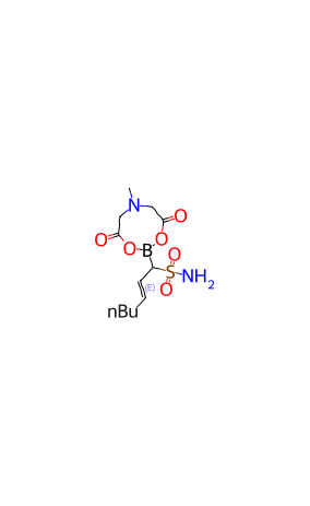 CCCC/C=C/C(B1OC(=O)CN(C)CC(=O)O1)S(N)(=O)=O